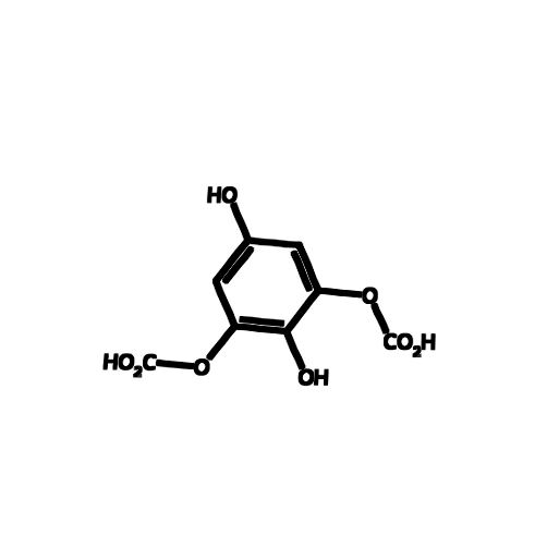 O=C(O)Oc1cc(O)cc(OC(=O)O)c1O